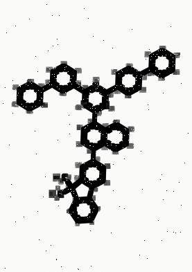 CC1(C)c2ccccc2-c2ccc(-c3ccc(-c4nc(-c5ccc(-c6ccccc6)cc5)nc(-c5cccc(-c6ccccc6)c5)n4)c4ccccc34)cc21